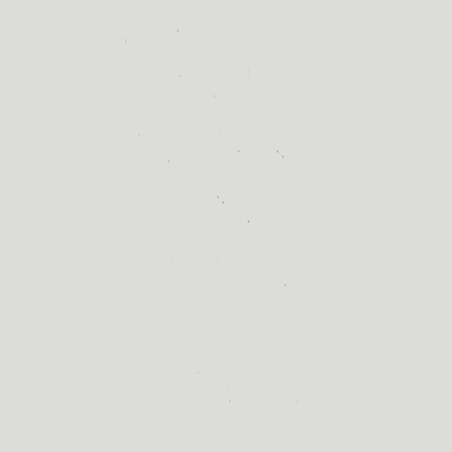 CCOc1cc2c(c(F)c1OCC)C(=N)N(CC(=O)c1cc(CC)c3c(c1)C(C)(C)CO3)C2